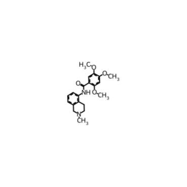 COc1cc(OC)c(C(=O)Nc2cccc3c2CCN(C)C3)cc1OC